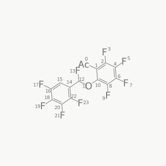 CC(=O)c1c(F)c(F)c(F)c(F)c1OC(F)c1cc(F)c(F)c(F)c1F